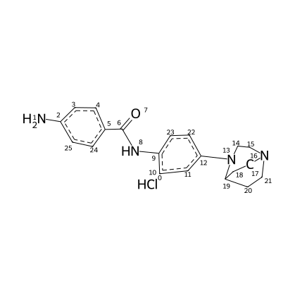 Cl.Nc1ccc(C(=O)Nc2ccc(N3CCN4CCC3CC4)cc2)cc1